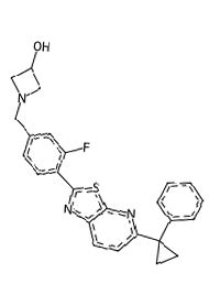 OC1CN(Cc2ccc(-c3nc4ccc(C5(c6ccccc6)CC5)nc4s3)c(F)c2)C1